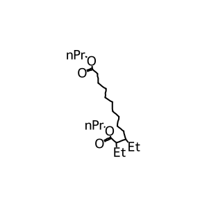 CCCOC(=O)CCCCCCCCCC(CC)C(CC)C(=O)OCCC